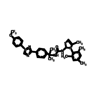 CC1=CSC(NC(=O)NC(C)(C)c2ccc(-c3ncn(-c4ccc(OC(F)(F)F)cc4)n3)cc2)N1c1c(C)cc(C)cc1C